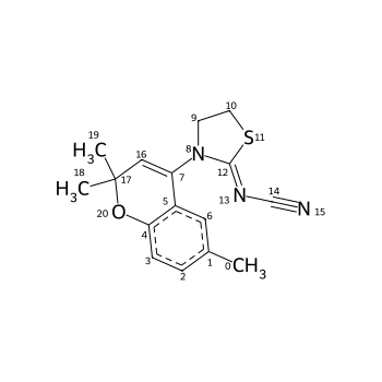 Cc1ccc2c(c1)C(N1CCSC1=NC#N)=CC(C)(C)O2